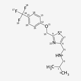 CC(C)CNCc1csc(COc2ccc(C(F)(F)F)cc2)n1